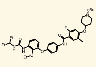 CCCCN1CCC(Oc2cc(F)c(C(=O)Nc3ccc(Oc4cccc(NC(=O)NC(CC)CC)c4OCC)cc3)cc2C)CC1